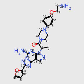 CC(C(=O)N1CCN(c2ccc(OCCN)cc2)CC1)n1ncc2c1nc(N)n1nc(-c3ccco3)nc21